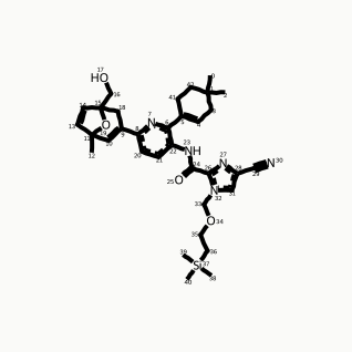 CC1(C)CC=C(c2nc(C3=CC4(C)C=CC(CO)(C3)O4)ccc2NC(=O)c2nc(C#N)cn2COCC[Si](C)(C)C)CC1